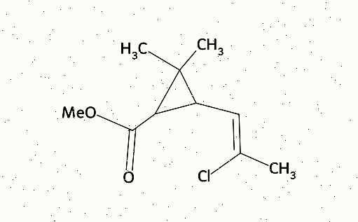 COC(=O)C1C(C=C(C)Cl)C1(C)C